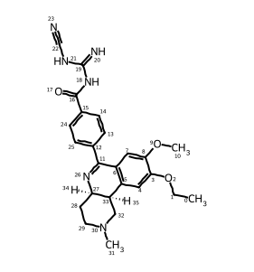 CCOc1cc2c(cc1OC)C(c1ccc(C(=O)NC(=N)NC#N)cc1)=N[C@@H]1CCN(C)C[C@H]21